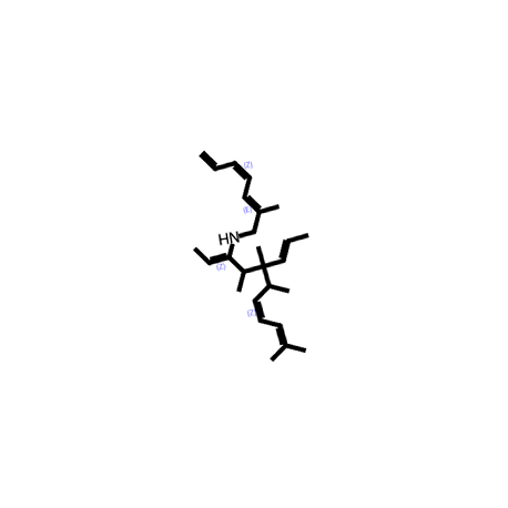 C=C/C=C\C=C(/C)CN/C(=C\C)C(C)C(C)(C=CC)C(C)/C=C\C=C(C)C